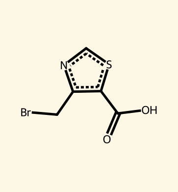 O=C(O)c1scnc1CBr